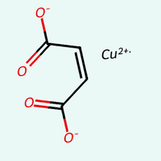 O=C([O-])/C=C\C(=O)[O-].[Cu+2]